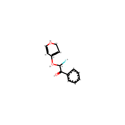 O=C(c1ccccc1)C(F)OC1=CCOC=C1